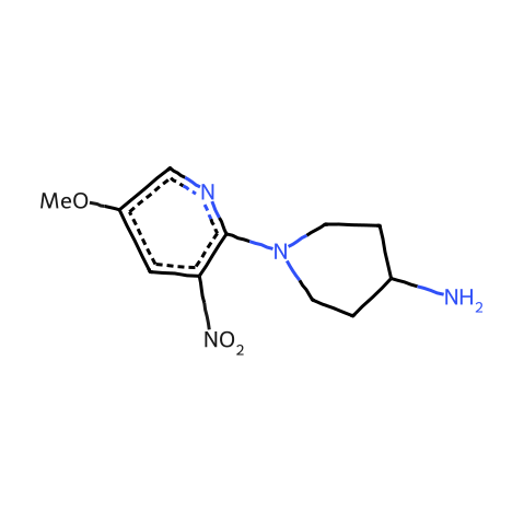 COc1cnc(N2CCC(N)CC2)c([N+](=O)[O-])c1